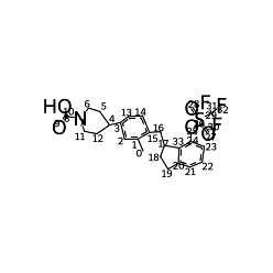 Cc1cc(C2CCN(C(=O)O)CC2)ccc1CC1CCc2cccc(OS(=O)(=O)C(F)(F)F)c21